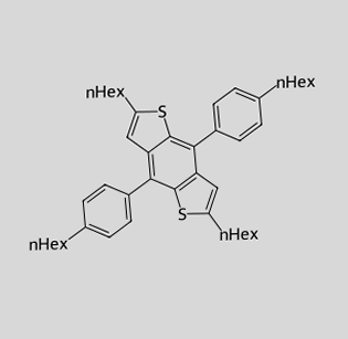 CCCCCCc1ccc(-c2c3cc(CCCCCC)sc3c(-c3ccc(CCCCCC)cc3)c3cc(CCCCCC)sc23)cc1